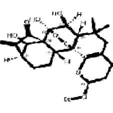 C=C1C(=O)[C@]23C(O)[C@H]1CC[C@H]2[C@@]12CO[C@]3(O)[C@@H](O)[C@@H]1C(C)(C)CC1=C2O[C@H](OCC)CC1